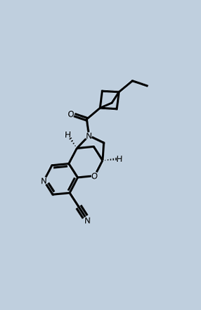 CCC12CC(C(=O)N3C[C@@H]4C[C@H]3c3cncc(C#N)c3O4)(C1)C2